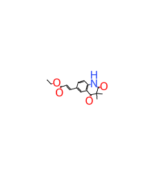 CCOC(=O)C=Cc1ccc2c(c1)C(=O)C(C)(C)C(=O)N2